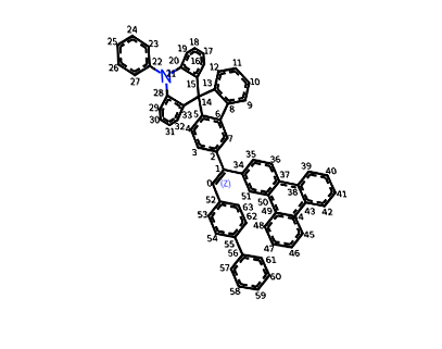 C(=C(\c1ccc2c(c1)-c1ccccc1C21c2ccccc2N(c2ccccc2)c2ccccc21)c1ccc2c3ccccc3c3ccccc3c2c1)/c1ccc(-c2ccccc2)cc1